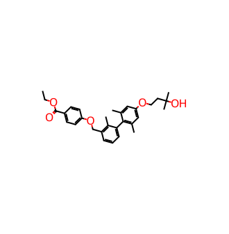 CCOC(=O)c1ccc(OCc2cccc(-c3c(C)cc(OCCC(C)(C)O)cc3C)c2C)cc1